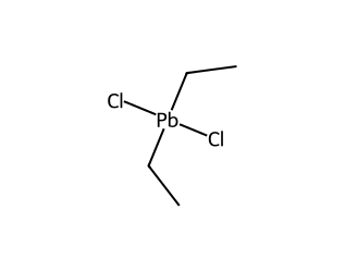 C[CH2][Pb]([Cl])([Cl])[CH2]C